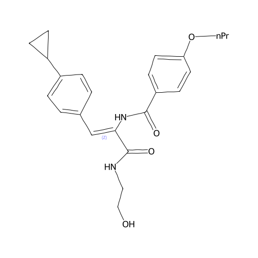 CCCOc1ccc(C(=O)N/C(=C\c2ccc(C3CC3)cc2)C(=O)NCCO)cc1